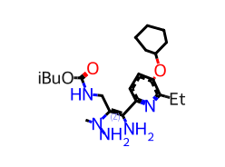 CCc1nc(/C(N)=C(\CNC(=O)OCC(C)C)N(C)N)ccc1OC1CCCCC1